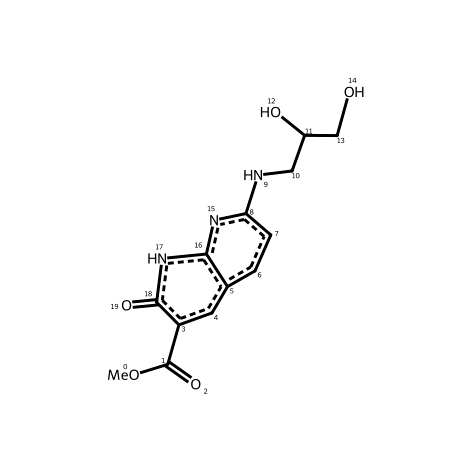 COC(=O)c1cc2ccc(NCC(O)CO)nc2[nH]c1=O